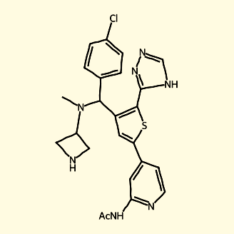 CC(=O)Nc1cc(-c2cc(C(c3ccc(Cl)cc3)N(C)C3CNC3)c(-c3nnc[nH]3)s2)ccn1